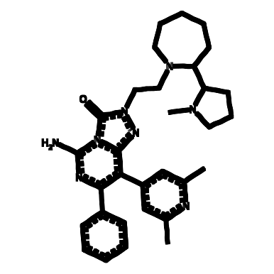 Cc1cc(-c2c(-c3ccccc3)nc(N)n3c(=O)n(CCN4CCCCCC4C4CCCN4C)nc23)cc(C)n1